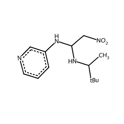 CC(NC(C[N+](=O)[O-])Nc1cccnc1)C(C)(C)C